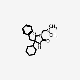 CN(C)CN1C(=O)NC(Cc2ccccc2)(C2CCCCC2)C1=O